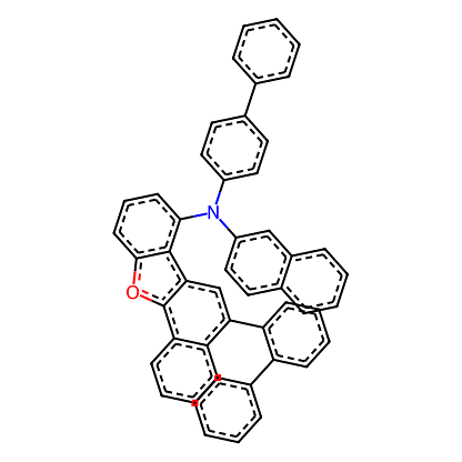 c1ccc(-c2ccc(N(c3ccc4ccccc4c3)c3cccc4oc5c6ccccc6c(-c6ccccc6-c6ccccc6)cc5c34)cc2)cc1